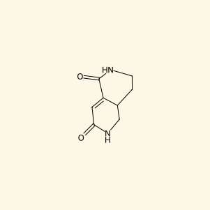 O=C1C=C2C(=O)NCCC2CN1